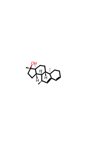 C[C@@H]1C=C2C=CCC[C@]2(C)[C@H]2CC[C@@]3(C)[C@@H](CC[C@]3(C)O)[C@H]12